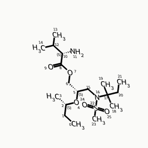 CC[C@H](C)O[C@H](COC(=O)[C@@H](N)C(C)C)CN(C(C)(C)CC)S(C)(=O)=O